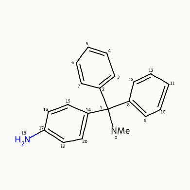 CNC(c1ccccc1)(c1ccccc1)c1ccc(N)cc1